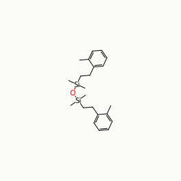 Cc1ccccc1CC[Si](C)(C)O[Si](C)(C)CCc1ccccc1C